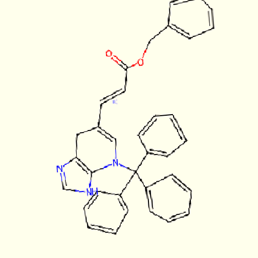 O=C(/C=C/C1=CN(C(c2ccccc2)(c2ccccc2)c2ccccc2)c2[nH]cnc2C1)OCc1ccccc1